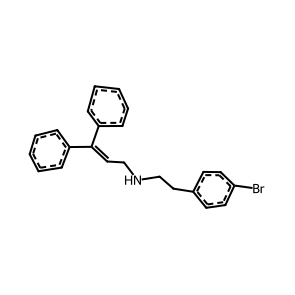 Brc1ccc(CCNCC=C(c2ccccc2)c2ccccc2)cc1